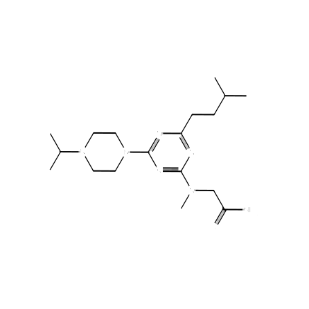 CC(C)CCc1nc(N(C)CC(N)=O)nc(N2CCN(C(C)C)CC2)n1